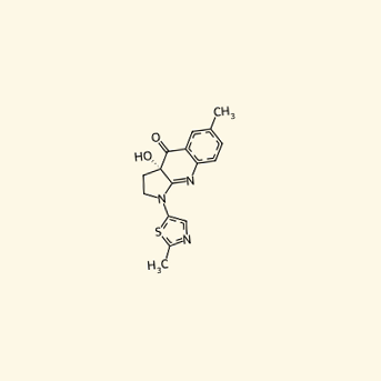 Cc1ccc2c(c1)C(=O)[C@]1(O)CCN(c3cnc(C)s3)C1=N2